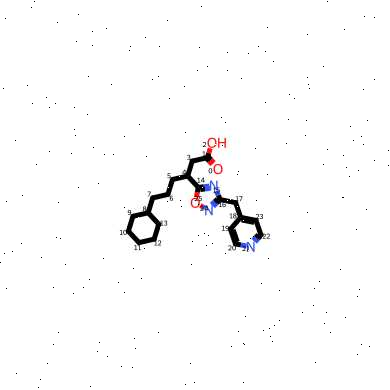 O=C(O)CC(CCCC1CCCCC1)c1nc(Cc2ccncc2)no1